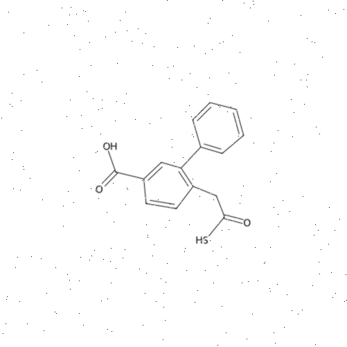 O=C(S)Cc1ccc(C(=O)O)cc1-c1ccccc1